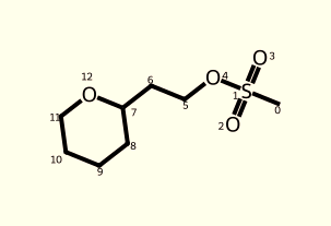 CS(=O)(=O)OCCC1CCCCO1